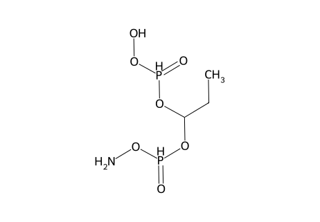 CCC(O[PH](=O)ON)O[PH](=O)OO